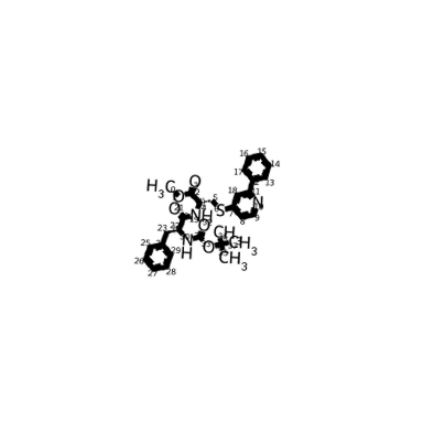 COC(=O)[C@H](CSc1ccnc(-c2ccccc2)c1)NC(=O)[C@H](Cc1ccccc1)NC(=O)OC(C)(C)C